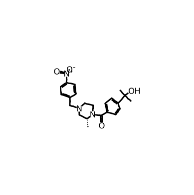 C[C@@H]1CN(Cc2ccc([N+](=O)[O-])cc2)CCN1C(=O)c1ccc(C(C)(C)O)cc1